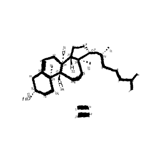 C=C.C=C.CC(C)CCC[C@@H](C)[C@H]1CC[C@H]2[C@@H]3CC=C4C[C@@H](O)CC[C@]4(C)[C@H]3CC[C@]12C